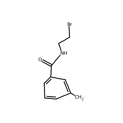 [CH2]c1cccc(C(=O)NCCBr)c1